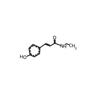 CCNC(=O)C=Cc1ccc(O)cc1